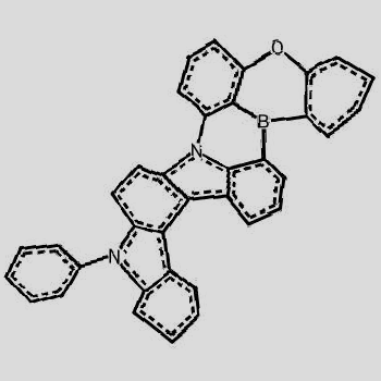 c1ccc(-n2c3ccccc3c3c4c5cccc6c5n(c4ccc32)-c2cccc3c2B6c2ccccc2O3)cc1